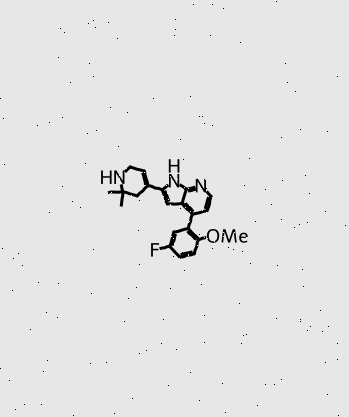 COc1ccc(F)cc1-c1ccnc2[nH]c(C3=CCNC(C)(C)C3)cc12